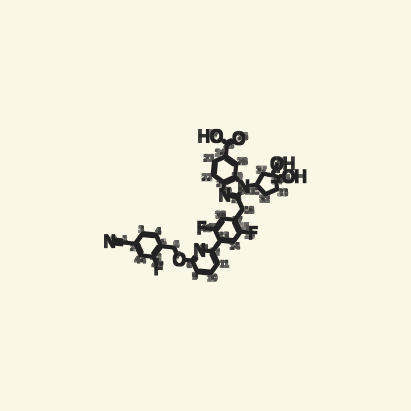 N#Cc1ccc(COc2cccc(-c3cc(F)c(Cc4nc5ccc(C(=O)O)cc5n4C4CCS(O)(O)C4)cc3F)n2)c(F)c1